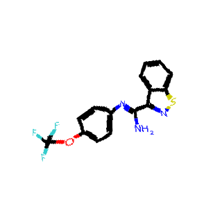 NC(=Nc1ccc(OC(F)(F)F)cc1)c1nsc2ccccc12